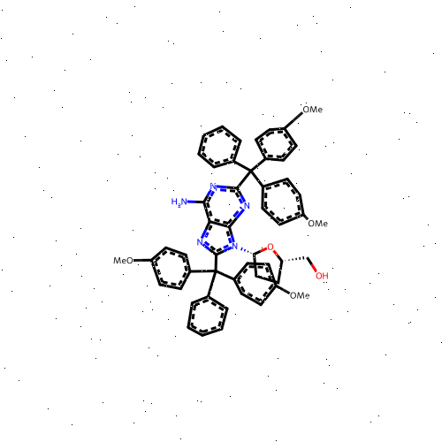 COc1ccc(C(c2ccccc2)(c2ccc(OC)cc2)c2nc(N)c3nc(C(c4ccccc4)(c4ccc(OC)cc4)c4ccc(OC)cc4)n([C@H]4CC[C@@H](CO)O4)c3n2)cc1